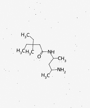 CCC(C)(CC)CC(=O)NC(C)CC(C)N